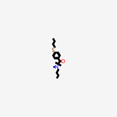 CCCCSc1ccc(C(=O)C(C)(C)N(C)CCCC)cc1